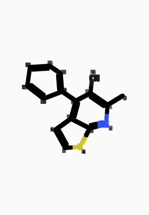 Cc1nc2sccc2c(-c2ccccc2)c1C#N